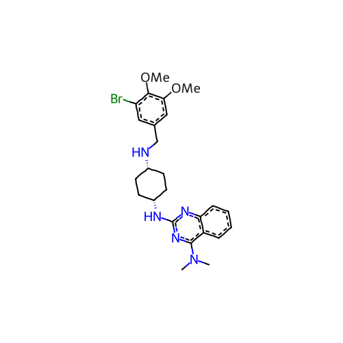 COc1cc(CN[C@H]2CC[C@@H](Nc3nc(N(C)C)c4ccccc4n3)CC2)cc(Br)c1OC